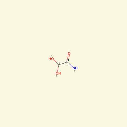 [NH]C(=O)C(O)O